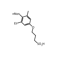 CCCCCCCCCc1c(C)cc(OCCCS(=O)(=O)O)cc1CC